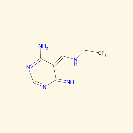 N=C1N=CN=C(N)/C1=C/NCC(F)(F)F